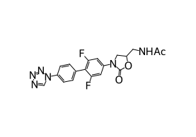 CC(=O)NCC1CN(c2cc(F)c(-c3ccc(-n4cnnn4)cc3)c(F)c2)C(=O)O1